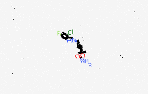 CC(C)(CCCNCc1ccc(F)cc1Cl)OC(N)=O